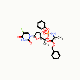 C[C@H](N[P@](=O)(Oc1ccccc1)O[C@H](C)[C@H]1O[C@@H](n2cc(F)c(=O)[nH]c2=O)C[C@@H]1O)C(=O)OCc1ccccc1